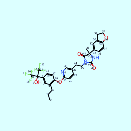 CCCc1cc(C(O)(C(F)(F)F)C(F)(F)F)ccc1Oc1ccc(CCN2C(=O)NC(C)(c3ccc4c(c3)CCO4)C2=O)cn1